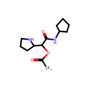 O=C(NC1CCCC1)C(OC(=O)C(F)(F)F)C1CCCN1